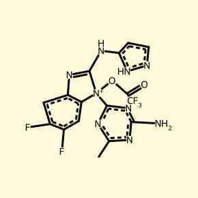 Cc1nc(N)nc([N+]2(OC(=O)C(F)(F)F)C(Nc3ccn[nH]3)=Nc3cc(F)c(F)cc32)n1